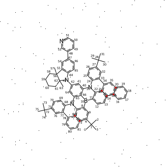 CC(C)(C)c1ccc2c(c1)B1c3ccc(-c4ccccc4)cc3N(c3ccc(C(C)(C)C)cc3-c3ccccc3)c3cc(N4c5ccc(-c6cccnc6)cc5C5(C)CCCCC45C)cc(c31)N2c1ccc(C(C)(C)C)cc1-c1ccccc1